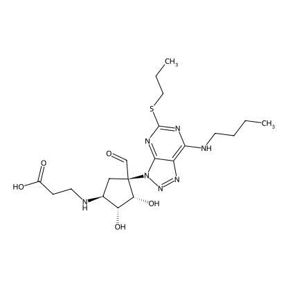 CCCCNc1nc(SCCC)nc2c1nnn2[C@]1(C=O)C[C@H](NCCC(=O)O)[C@@H](O)[C@H]1O